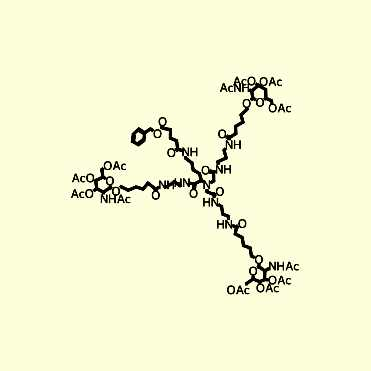 CC(=O)NC1C(OCCCCCC(=O)NCCCNC(=O)CN(CC(=O)NCCCNC(=O)CCCCCOC2OC(COC(C)=O)CC(OC(C)=O)(OC(C)=O)C2NC(C)=O)C(CCCCNC(=O)CCCC(=O)OCc2ccccc2)C(=O)NCCCNC(=O)CCCCCOC2OC(COC(C)=O)C(OC(C)=O)C(OC(C)=O)C2NC(C)=O)OC(COC(C)=O)C(OC(C)=O)C1OC(C)=O